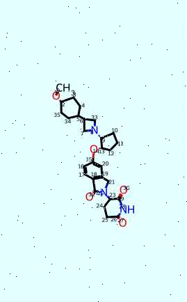 COC1CCC(C2CN([C@@H]3CCC[C@@H]3Oc3ccc4c(c3)CN(C3CCC(=O)NC3=O)C4=O)C2)CC1